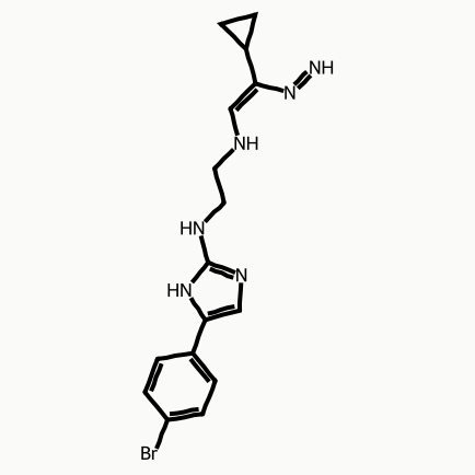 N=N/C(=C\NCCNc1ncc(-c2ccc(Br)cc2)[nH]1)C1CC1